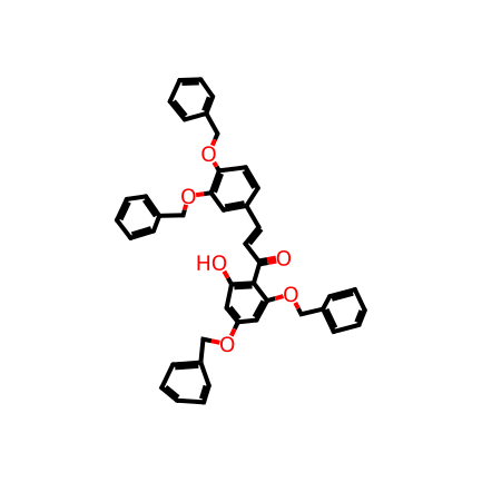 O=C(C=Cc1ccc(OCc2ccccc2)c(OCc2ccccc2)c1)c1c(O)cc(OCc2ccccc2)cc1OCc1ccccc1